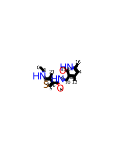 CCNc1scc(C(=O)NCc2c(C)cc(C)[nH]c2=O)c1C